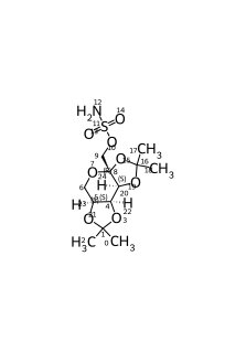 CC1(C)O[C@H]2[C@H](CO[C@]3(COS(N)(=O)=O)OC(C)(C)O[C@@H]23)O1